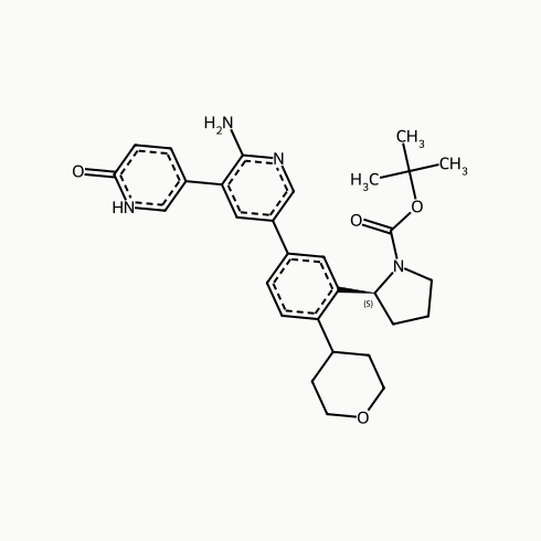 CC(C)(C)OC(=O)N1CCC[C@H]1c1cc(-c2cnc(N)c(-c3ccc(=O)[nH]c3)c2)ccc1C1CCOCC1